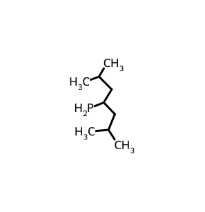 CC(C)CC(P)CC(C)C